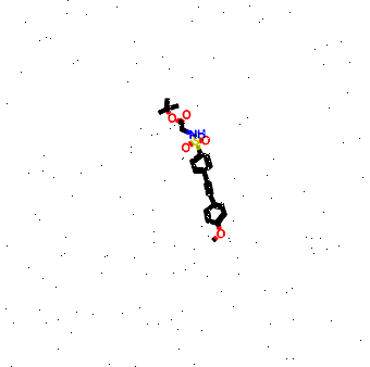 COc1ccc(C#Cc2ccc(S(=O)(=O)NCC(=O)OC(C)(C)C)cc2)cc1